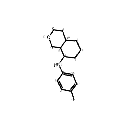 Fc1ccc(NC2CCCC3CCOCC32)cc1